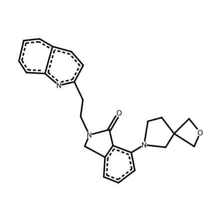 O=C1c2c(cccc2N2CCC3(COC3)C2)CN1CCc1ccc2ccccc2n1